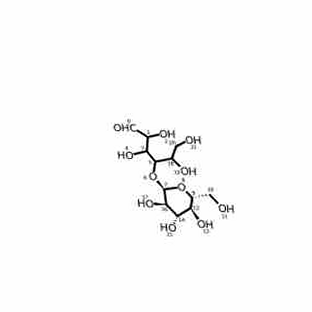 O=CC(O)C(O)C(O[C@H]1O[C@H](CO)[C@@H](O)[C@H](O)[C@H]1O)C(O)CO